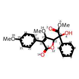 COC(=O)C(O)(c1ccccc1)C1OC(=O)C(c2ccc(OC)cc2)=C1OC